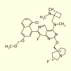 COCOc1cc(-c2ncc3c(N(C)CC4(N(C)C)CCC4)nc(OC[C@@]45CCCN4C[C@H](F)C5)nc3c2F)c2c(Cl)cccc2c1